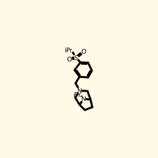 CC(C)N1C2CCC1CN(Cc1cccc(S(=O)(=O)C(C)C)c1)C2